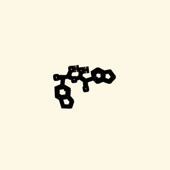 O=C(c1ccc2c(c1)CCC2)C(O)OC(O)C(=O)c1ccc2c(c1)CCC2